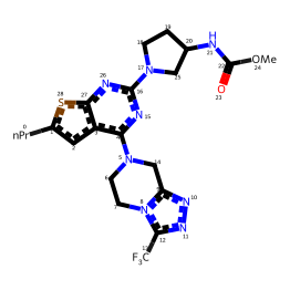 CCCc1cc2c(N3CCn4c(nnc4C(F)(F)F)C3)nc(N3CCC(NC(=O)OC)C3)nc2s1